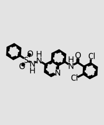 O=C(Nc1cccc2c(NNS(=O)(=O)c3ccccc3)ccnc12)c1c(Cl)cccc1Cl